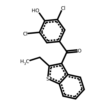 CCc1sc2ccccc2c1C(=O)c1cc(Cl)c(O)c(Cl)c1